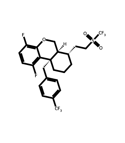 O=S(=O)(CC[C@@H]1CCC[C@@]2(Cc3ccc(C(F)(F)F)cc3)c3c(F)ccc(F)c3OC[C@@H]12)C(F)(F)F